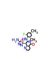 Cc1ccc(Nc2c(-c3nnc(N)o3)c3ncccc3c(=O)n2C)c(F)c1